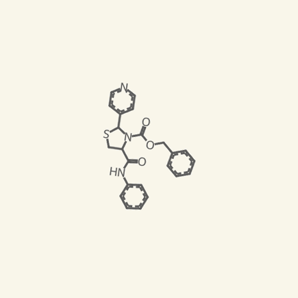 O=C(Nc1ccccc1)C1CSC(c2ccncc2)N1C(=O)OCc1ccccc1